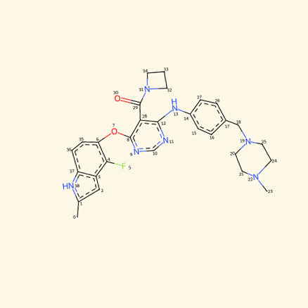 Cc1cc2c(F)c(Oc3ncnc(Nc4ccc(CN5CCN(C)CC5)cc4)c3C(=O)N3CCC3)ccc2[nH]1